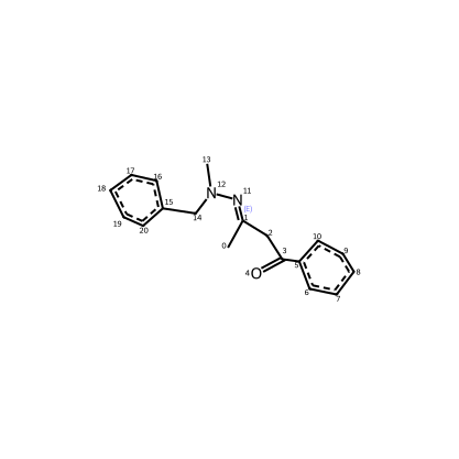 C/C(CC(=O)c1ccccc1)=N\N(C)Cc1ccccc1